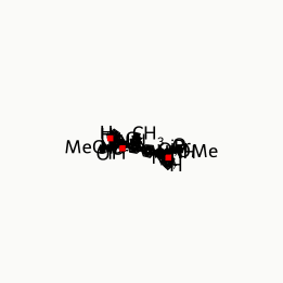 COC(=O)N[C@H](C(=O)N1C[C@@H]2CC[C@@]1(c1nc(-c3ccc(-c4ccc(-c5c[nH]c([C@@]67CC[C@@H](CN6C(=O)[C@@H](NC(=O)OC)C(C)C)C7)n5)c5oc(C)nc45)cc3)c[nH]1)C2)C(C)C